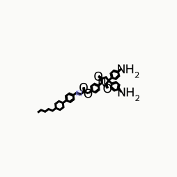 CCCCCC1CCC(c2ccc(/C=C/C(=O)Oc3ccc(N4C(=O)CC(c5ccc(N)cc5)(c5ccc(N)cc5)C4=O)cc3)cc2)CC1